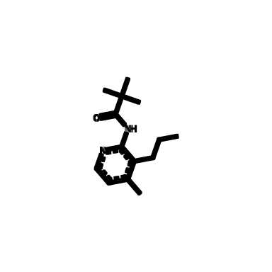 CCCc1c(C)ccnc1NC(=O)C(C)(C)C